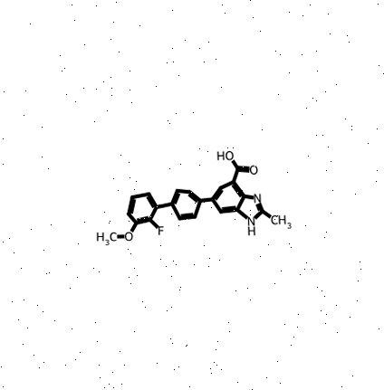 COc1cccc(-c2ccc(-c3cc(C(=O)O)c4nc(C)[nH]c4c3)cc2)c1F